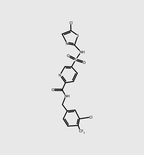 O=C(NCc1ccc(C(F)(F)F)c(Cl)c1)c1ccc(S(=O)(=O)Nc2ncc(Cl)s2)cn1